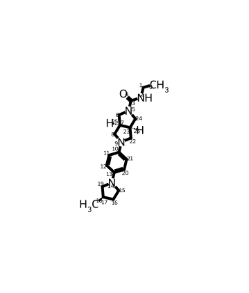 CCNC(=O)N1C[C@@H]2CN(c3ccc(N4CC[C@@H](C)C4)cc3)C[C@@H]2C1